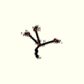 O=C(CCOCC(COCCC(=O)NCCOCCOCCOCCOC[C@@]12CO[C@@H](O1)[C@H](NC(=O)C(F)(F)F)[C@@H](O)[C@H]2O)(COCCC(=O)NCCOCCOCCOCCOC[C@@]12OO[C@@H](O1)[C@H](NC(=O)C(F)(F)F)[C@@H](O)[C@H]2O)NC(=O)CCCOc1ccc2nc(-c3cn(-c4ccc(O)c(F)c4)nn3)ccc2c1)NCCOCCOCCOCCOC[C@@]12CO[C@@H](O1)[C@H](NC(=O)C(F)(F)F)[C@@H](O)[C@H]2O